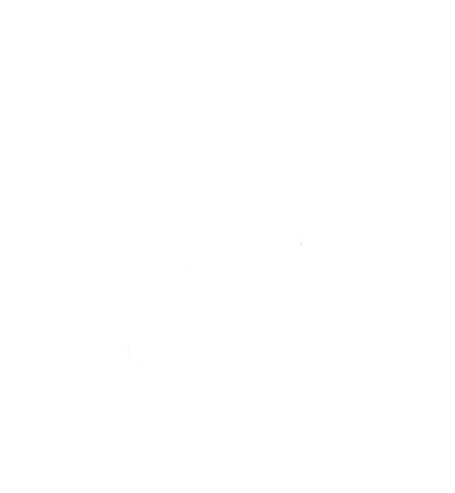 C=C[CH]C(CCCC)OCCCCC